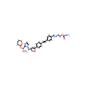 C[C@H](OC1CCCCO1)c1nccn1Cc1cc(-c2ccc(C#Cc3ccc(CNCCOC(N)=O)cc3)cc2)on1